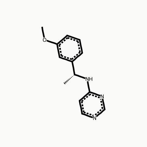 COc1cccc([C@@H](C)Nc2ccncn2)c1